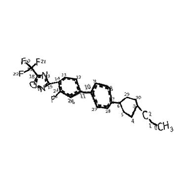 CCCC1CCC(c2ccc(-c3ccc(-c4noc(C(F)(F)F)n4)c(F)c3)cc2)CC1